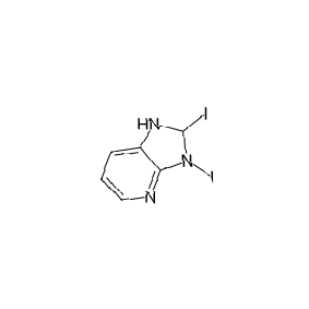 IC1Nc2cccnc2N1I